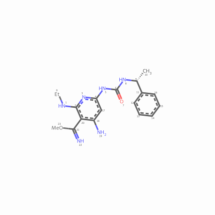 CCNc1nc(NC(=O)N[C@H](C)c2ccccc2)cc(N)c1C(=N)OC